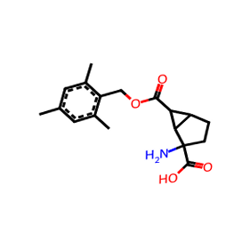 Cc1cc(C)c(COC(=O)C2C3CCC(N)(C(=O)O)C32)c(C)c1